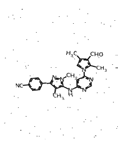 Cc1cn(-c2cc(Nc3c(C)c(-c4ccc(C#N)cc4)nn3C)ncn2)c(C)c1C=O